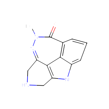 CN1N=C2CNCc3[nH]c4cccc(c4c32)C1=O